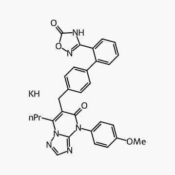 CCCc1c(Cc2ccc(-c3ccccc3-c3noc(=O)[nH]3)cc2)c(=O)n(-c2ccc(OC)cc2)c2ncnn12.[KH]